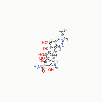 C[C@@H](NCc1cc(O)c2c(c1N(C)C)C[C@H]1C[C@H]3[C@H](N(C)C)C(O)=C(C(N)=O)C(=O)[C@@]3(O)C(O)=C1C2=O)C1CC1